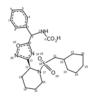 O=C(O)NC(c1ccccc1)c1nc([C@@H]2CCCCN2S(=O)(=O)CC2CCCCC2)no1